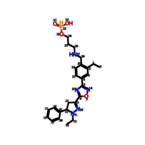 CCc1cc(-c2noc(C3=NN(CC)C(c4ccccc4)C3)n2)ccc1CNCCCO[PH](=O)O